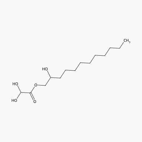 CCCCCCCCCCC(O)COC(=O)C(O)O